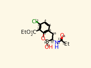 CCOC(=O)c1c(Cl)ccc2c1OB(O)[C@@H](NC(=O)CC)C2